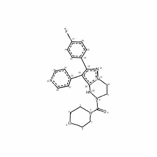 O=C(N1CCOCC1)N1CCn2nc(-c3ccc(F)cc3)c(-c3ccncc3)c2N1